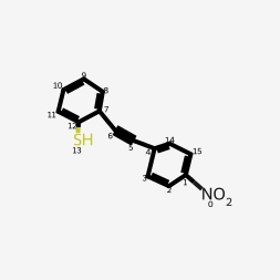 O=[N+]([O-])c1ccc(C#Cc2ccccc2S)cc1